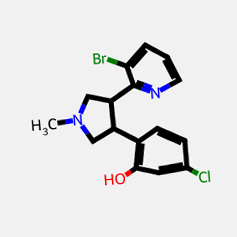 CN1CC(c2ccc(Cl)cc2O)C(c2ncccc2Br)C1